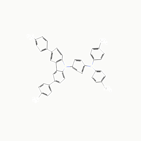 O=[N+]([O-])c1ccc(N(c2ccc(-n3c4ccc(-c5ccc(C(F)(F)F)cc5)cc4c4cc(-c5ccc(C(F)(F)F)cc5)ccc43)cc2)c2ccc([N+](=O)[O-])cc2)cc1